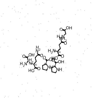 NC(=O)CC[C@H](N)C(=O)O.NC(=O)CC[C@H](N)C(=O)O.NCC(=O)O.NCC(=O)O.O=C(O)[C@@H]1CCCN1.O=C(O)[C@@H]1CCCN1